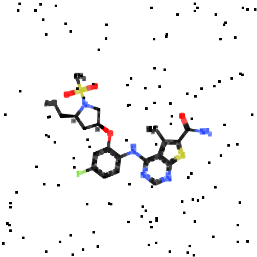 CC(=O)OC[C@@H]1C[C@H](Oc2cc(F)ccc2Nc2ncnc3sc(C(N)=O)c(C)c23)CN1S(C)(=O)=O